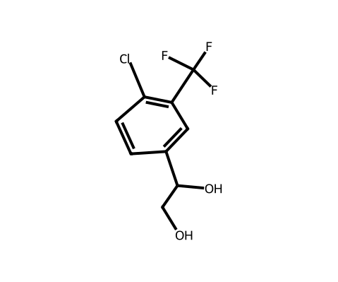 OCC(O)c1ccc(Cl)c(C(F)(F)F)c1